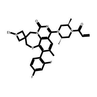 C=CC(=O)N1C[C@H](C)N(c2nc(=O)n3c4c(c(-c5ccc(F)cc5F)c(C)cc24)SCC2(CN(CC)C2)C3)C[C@H]1C